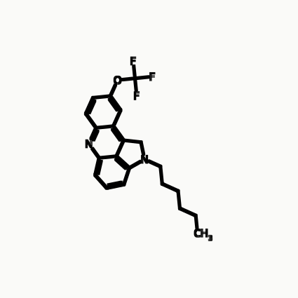 CCCCCCN1Cc2c3cc(OC(F)(F)F)ccc3nc3cccc1c23